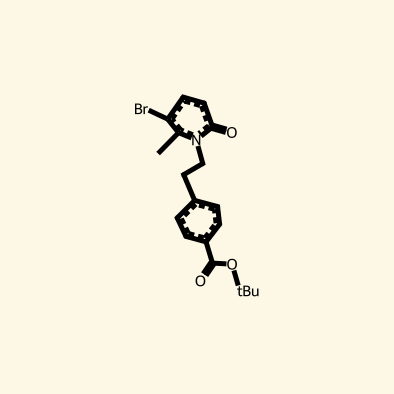 Cc1c(Br)ccc(=O)n1CCc1ccc(C(=O)OC(C)(C)C)cc1